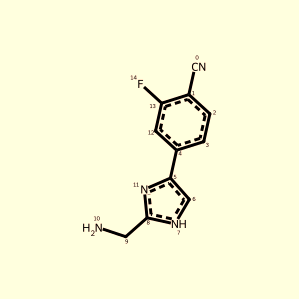 N#Cc1ccc(-c2c[nH]c(CN)n2)cc1F